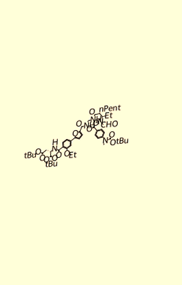 CCCCC[C@@H](C(=O)NCNC(=O)c1ccc(-c2ccc(C(=O)N[C@@H](CC(=O)OC(C)(C)C)C(=O)OC(C)(C)C)c(OCC)c2)o1)[C@@H](CC)N(C=O)OC(=O)c1ccc(N(C)C(=O)OC(C)(C)C)cc1